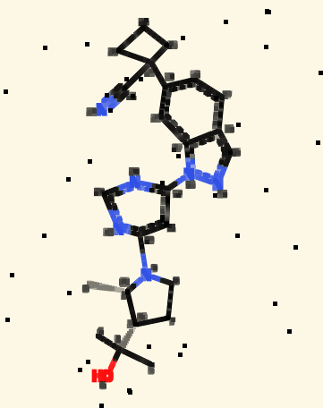 C[C@H]1[C@@H](C(C)(C)O)CCN1c1cc(-n2ncc3ccc(C4(C#N)CCC4)cc32)ncn1